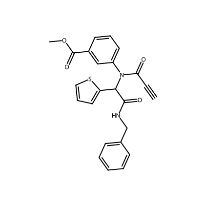 C#CC(=O)N(c1cccc(C(=O)OC)c1)C(C(=O)NCc1ccccc1)c1cccs1